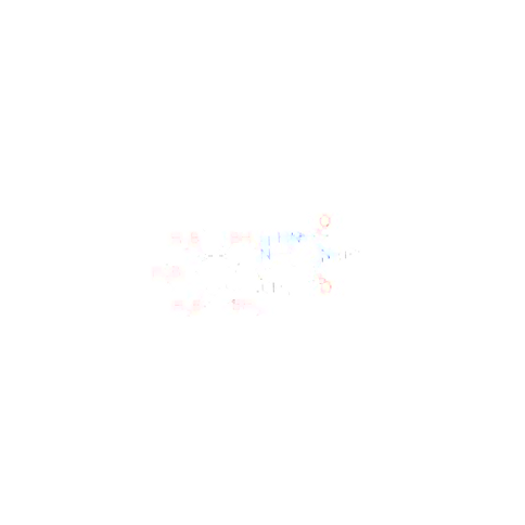 Bc1c(B)c(B)c([C@H](C)Nc2cc(=O)n(C(C)C)c(=O)[nH]2)c(B)c1B